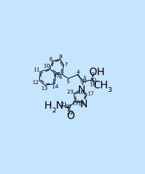 C[C@H](O)[C@H](CCc1cccc2ccccc12)n1cnc(C(N)=O)c1